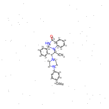 COc1ccc(N2CCN(CC(C)N3c4ccccc4C(=O)NC3c3ccccc3)CC2)cc1